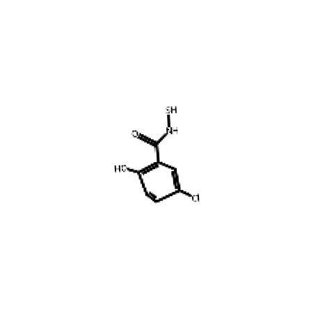 O=C(NS)c1cc(Cl)ccc1O